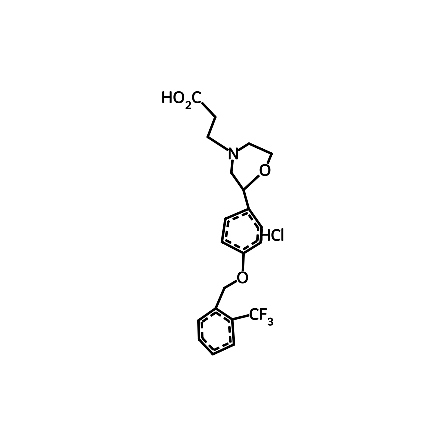 Cl.O=C(O)CCN1CCOC(c2ccc(OCc3ccccc3C(F)(F)F)cc2)C1